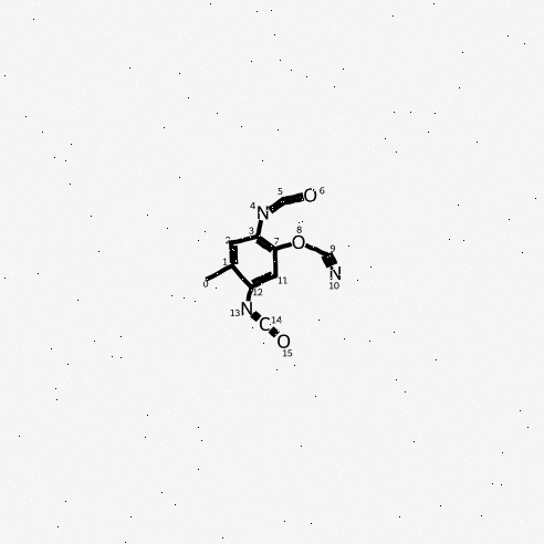 Cc1cc(N=C=O)c(OC#N)cc1N=C=O